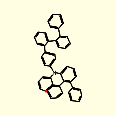 c1ccc(-c2ccccc2-c2ccccc2-c2ccc(N(c3ccccc3)c3cccc(-c4ccccc4)c3-c3ccccc3)cc2)cc1